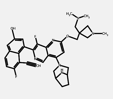 C#Cc1c(F)ccc2cc(O)cc(-c3ncc4c(N5CC6CCC(C5)N6)cc(OCC5(CN(C)C)CN(C)C5)nc4c3F)c12